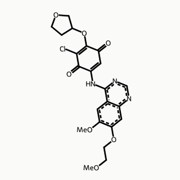 COCCOc1cc2ncnc(NC3=CC(=O)C(OC4CCOC4)=C(Cl)C3=O)c2cc1OC